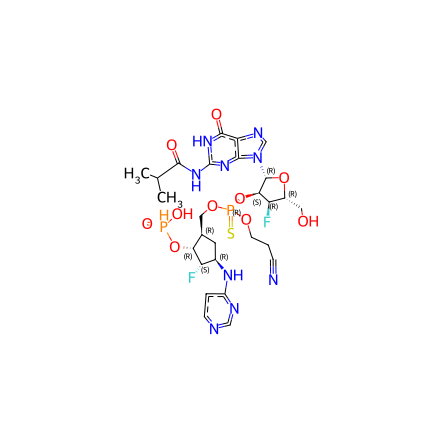 CC(C)C(=O)Nc1nc2c(ncn2[C@@H]2O[C@H](CO)[C@@H](F)[C@H]2O[P@@](=S)(OCCC#N)OC[C@H]2C[C@@H](Nc3ccncn3)[C@H](F)[C@@H]2O[PH](=O)O)c(=O)[nH]1